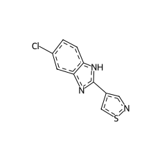 Clc1ccc2[nH]c(-c3cnsc3)nc2c1